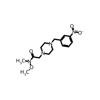 CON(C)C(=O)CN1CCN(Cc2cccc([N+](=O)[O-])c2)CC1